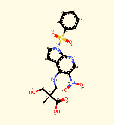 C[C@@](CO)(CNc1c([N+](=O)[O-])cnc2c1ccn2S(=O)(=O)c1ccccc1)C(=O)O